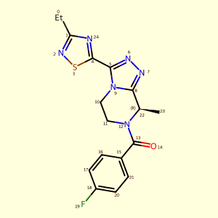 CCc1nsc(-c2nnc3n2CCN(C(=O)c2ccc(F)cc2)[C@@H]3C)n1